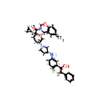 O=C(c1ccccc1)C(O)c1cc(N[C@@H]2CCN([C@@H]3CC[C@@](C(=O)N4COc5ccc(C(F)(F)F)cc5C4)(C4CC4)OC3)C2)ccc1F